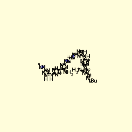 C/N=N/c1n[nH]c(Nc2nnc(-n3nc(/N=N/C/N=N/c4n[nH]c(Nc5nnc(-n6nc(N=NC(C)(C)C)nc6N)nn5)n4)nc3N)nn2)n1